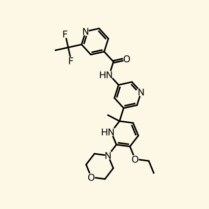 CCOC1=C(N2CCOCC2)NC(C)(c2cncc(NC(=O)c3ccnc(C(C)(F)F)c3)c2)C=C1